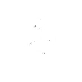 C[C@]12C=CC(=O)C=C1CC[C@@H]1[C@@H]2[C@@H](O)C[C@@]2(C)[C@H]1CC[C@]2(O)C(O)C(=O)O